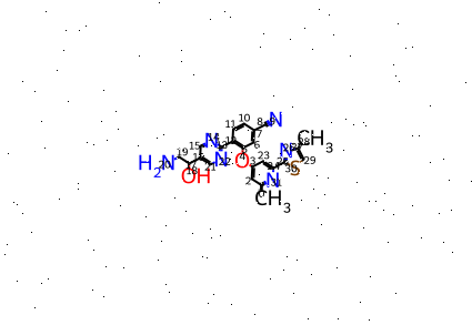 Cc1cc(Oc2cc(C#N)ccc2-c2ncc(C(O)CN)cn2)cc(-c2nc(C)cs2)n1